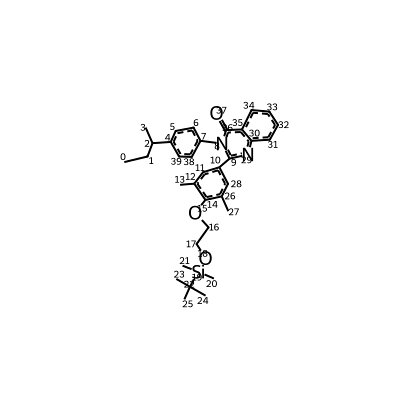 CCC(C)c1ccc(-n2c(-c3cc(C)c(OCCO[Si](C)(C)C(C)(C)C)c(C)c3)nc3ccccc3c2=O)cc1